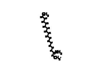 [CH2]CC(N)CCCCCCCCCCCCCCCC